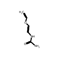 C=COC=CNC(N)=O